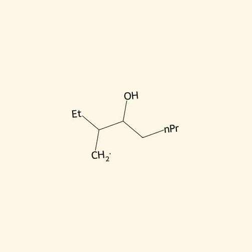 [CH2]C(CC)C(O)CCCC